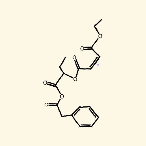 CCOC(=O)/C=C\C(=O)OC(CC)C(=O)OC(=O)Cc1ccccc1